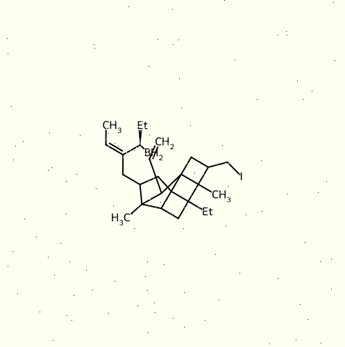 B[C@H](CC)/C(=C\C)CC1CC23C4CC2(CC)C2(C)C(CI)CC23C(C=C)C14C